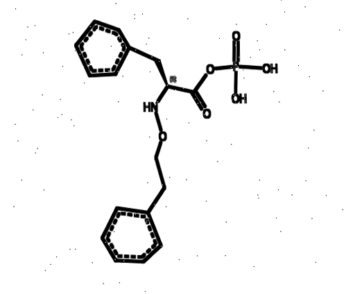 O=C(OP(=O)(O)O)[C@H](Cc1ccccc1)NOCCc1ccccc1